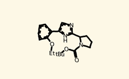 CCOc1ccccc1-c1cnc(C2CCCN2C(=O)OC(C)(C)C)[nH]1